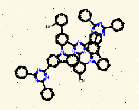 N#Cc1ccc(-c2nc(-c3ccccc3)nc(-c3cc(-c4ccccc4C#N)ccc3-n3c4ccccc4c4cc(-c5nc(-c6ccccc6)nc(-c6ccccc6)n5)ccc43)n2)c(-n2c3ccccc3c3cc(-c4nc(-c5ccccc5)nc(-c5ccccc5)n4)ccc32)c1